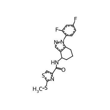 CSc1nc(C(=O)NC2CCCc3c2cnn3-c2ccc(F)cc2F)cs1